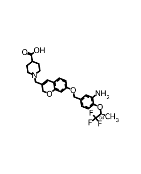 C[C@H](Oc1ccc(COc2ccc3c(c2)OCC(CN2CCC(C(=O)O)CC2)=C3)cc1N)C(F)(F)F